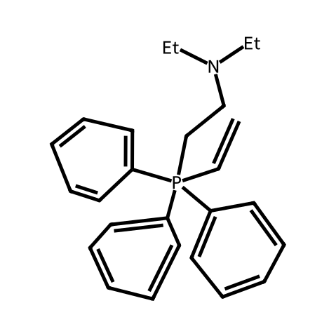 C=CP(CCN(CC)CC)(c1ccccc1)(c1ccccc1)c1ccccc1